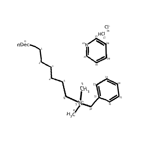 CCCCCCCCCCCCCCCC[N+](C)(C)Cc1ccccc1.Cl.[Cl-].c1ccncc1